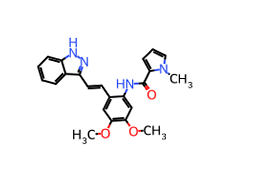 COc1cc(/C=C/c2n[nH]c3ccccc23)c(NC(=O)c2cccn2C)cc1OC